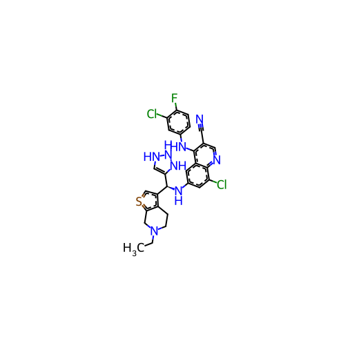 CCN1CCc2c([C@H](Nc3cc(Cl)c4ncc(C#N)c(Nc5ccc(F)c(Cl)c5)c4c3)C3=CNNN3)csc2C1